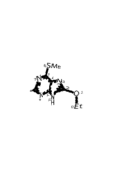 CCOc1nc2c(SC)ncnc2[nH]1